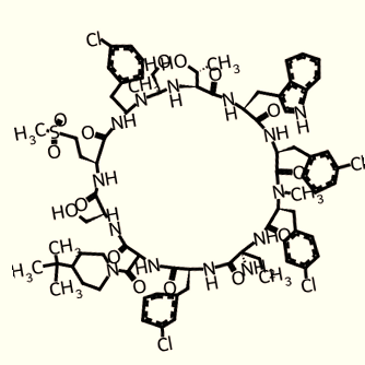 CC[C@]1(N)NC(=O)[C@H](Cc2ccc(Cl)cc2)N(C)C(=O)[C@H](Cc2cccc(Cl)c2)NC(=O)[C@H](Cc2c[nH]c3ccccc23)NC(=O)[C@H]([C@@H](C)O)N[C@H](CO)N(C)C(Cc2cccc(Cl)c2)NC(=O)[C@H](CCS(C)(=O)=O)NC(=O)[C@H](CO)NC(=O)C(C(=O)N2CCC(C(C)(C)C)CC2)NC(=O)[C@H](Cc2cccc(Cl)c2)NC1=O